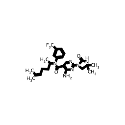 CC(C)=CCCC(C)N(C(=O)c1cnc(N2CC(C)(C)NC2=O)nc1N)c1cccc(C(F)(F)F)c1